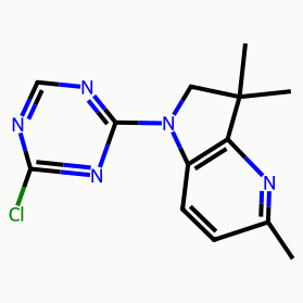 Cc1ccc2c(n1)C(C)(C)CN2c1ncnc(Cl)n1